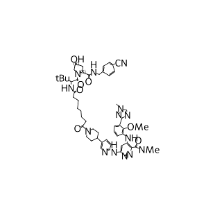 CNC(=O)c1nnc(Nc2ccc(C3CCN(C(=O)CCCCCCC(=O)NC(C(=O)N4C[C@H](O)C[C@H]4C(=O)NCc4ccc(C#N)cc4)C(C)(C)C)CC3)cn2)cc1Nc1cccc(-c2ncn(C)n2)c1OC